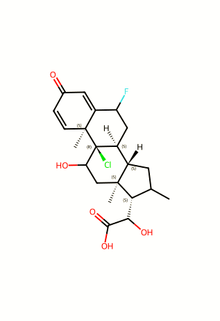 CC1C[C@H]2[C@@H]3CC(F)C4=CC(=O)C=C[C@]4(C)[C@@]3(Cl)C(O)C[C@]2(C)[C@H]1C(O)C(=O)O